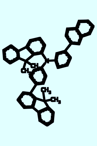 CC1(C)c2ccccc2-c2cccc(-c3ccc(N(c4cccc(-c5ccc6ccccc6c5)c4)c4cccc5c4C(C)(C)c4ccccc4-5)cc3)c21